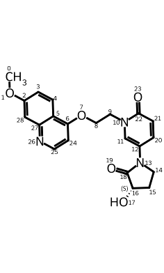 COc1ccc2c(OCCn3cc(N4CC[C@H](O)C4=O)ccc3=O)ccnc2c1